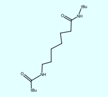 CC(C)(C)NC(=O)CCCCCCNC(=O)C(C)(C)C